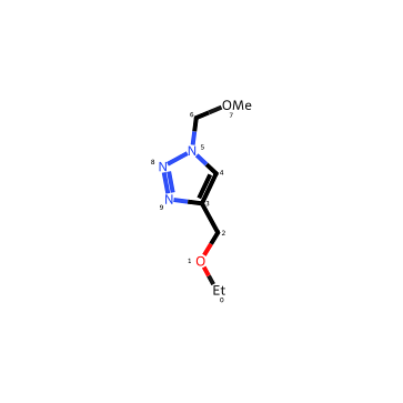 CCOCc1cn(COC)nn1